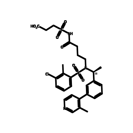 Cc1cnccc1-c1cccc([C@H](C)N(CCCC(=O)NS(=O)(=O)CCC(=O)O)S(=O)(=O)c2cccc(Cl)c2C)c1